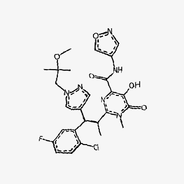 COC(C)(C)Cn1cc(C(c2cc(F)ccc2Cl)C(C)c2nc(C(=O)Nc3cnoc3)c(O)c(=O)n2C)cn1